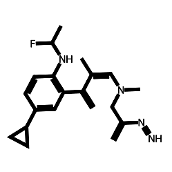 C=C(CN(C)/C=C(/C)C(=C)c1cc(C2CC2)ccc1NC(C)F)N=N